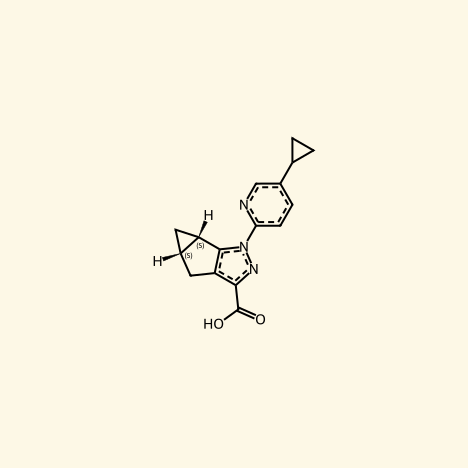 O=C(O)c1nn(-c2ccc(C3CC3)cn2)c2c1C[C@@H]1C[C@H]21